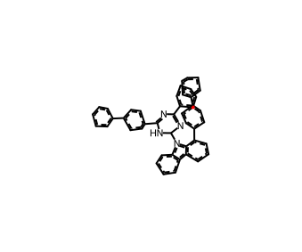 c1ccc(C2=NC(n3c4ccccc4c4cccc(-c5ccc(-c6ccccc6)cc5)c43)NC(c3ccc(-c4ccccc4)cc3)=N2)cc1